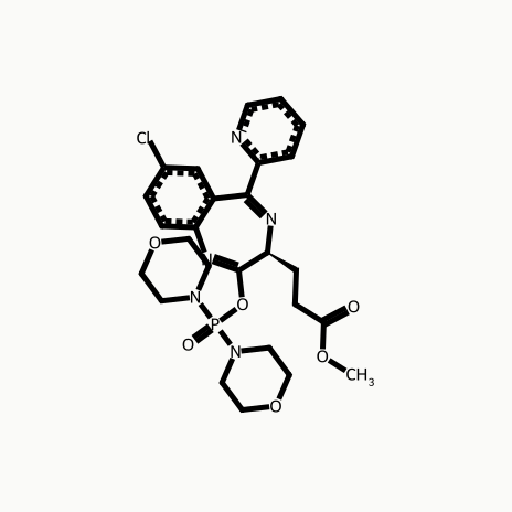 COC(=O)CC[C@@H]1N=C(c2ccccn2)c2cc(Cl)ccc2N=C1OP(=O)(N1CCOCC1)N1CCOCC1